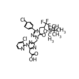 CC(C)(C)[Si](C)(C)OC(Cn1c(-c2ccc(Cl)cc2)nn(Cc2nc(CC(=O)O)n(-c3ncccc3Cl)n2)c1=O)C(F)(F)F